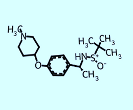 C[C@H](N[S+]([O-])C(C)(C)C)c1ccc(OC2CCN(C)CC2)cc1